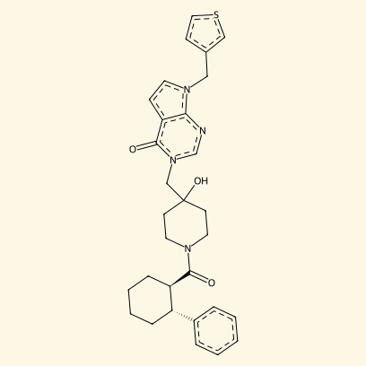 O=C([C@@H]1CCCC[C@H]1c1ccccc1)N1CCC(O)(Cn2cnc3c(ccn3Cc3ccsc3)c2=O)CC1